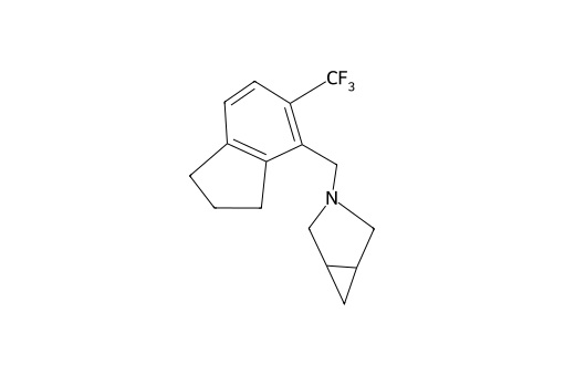 FC(F)(F)c1ccc2c(c1CN1CC3CC3C1)CCC2